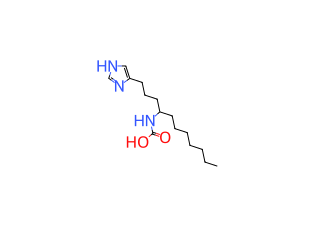 CCCCCCCC(CCCc1c[nH]cn1)NC(=O)O